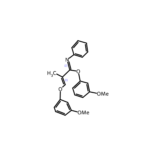 COc1cccc(O/C=C(C)/C(=N/c2ccccc2)Oc2cccc(OC)c2)c1